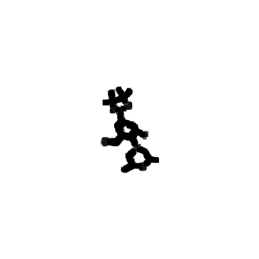 CC1CN(c2c(F)cc(B3OC(C)(C)C(C)(C)O3)cc2C=O)CC(C)O1